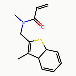 C=CC(=O)N(C)CC1=C(C)C2C=CC=CC2S1